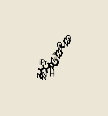 Cc1c(-c2[nH]c3ccc(N4CCN(C(=O)CN5CCOCC5)C[C@H]4C)nc3c2C(C)C)cn2ncnc2c1C